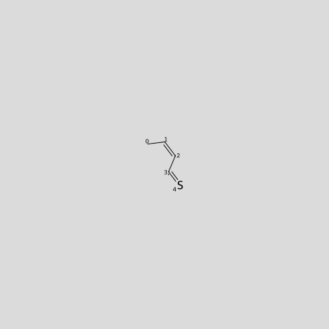 C/C=C\[C]=S